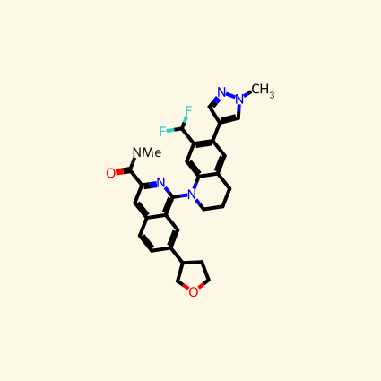 CNC(=O)c1cc2ccc(C3CCOC3)cc2c(N2CCCc3cc(-c4cnn(C)c4)c(C(F)F)cc32)n1